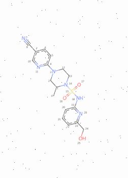 CC1CN(c2ccc(C#N)cn2)CCN1S(=O)(=O)Nc1cccc(CO)n1